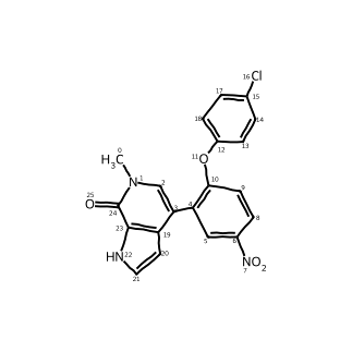 Cn1cc(-c2cc([N+](=O)[O-])ccc2Oc2ccc(Cl)cc2)c2cc[nH]c2c1=O